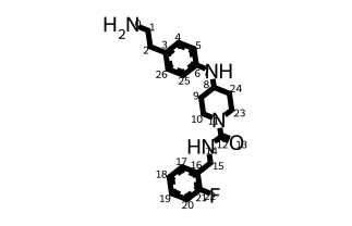 NCCc1ccc(NC2CCN(C(=O)NCc3ccccc3F)CC2)cc1